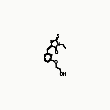 CCN1C(=O)/C(=C\c2cccc(OCCO)c2)SC1=S